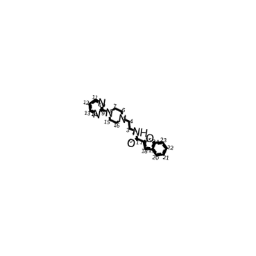 O=C(NCCN1CCN(c2ncccn2)CC1)c1cc2ccccc2o1